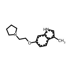 Cc1c[nH]c2cc(OCCN3CCCC3)ccc12